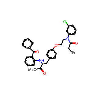 COC(=O)[C@H](Cc1ccc(OCCN(C(=O)CC(C)C)c2cccc(Cl)c2)cc1)Nc1ccccc1C(=O)c1ccccc1